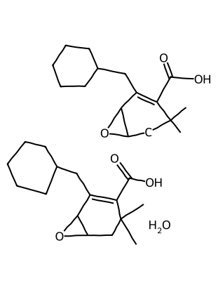 CC1(C)CC2OC2C(CC2CCCCC2)=C1C(=O)O.CC1(C)CC2OC2C(CC2CCCCC2)=C1C(=O)O.O